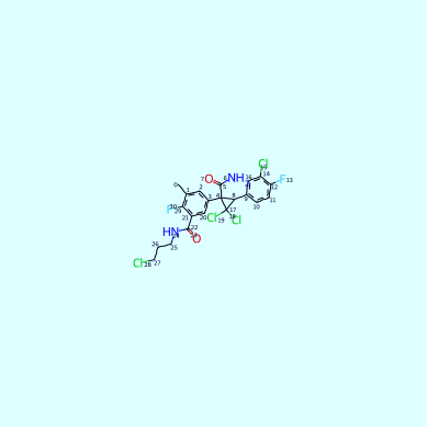 Cc1cc(C2(C(N)=O)C(c3ccc(F)c(Cl)c3)C2(Cl)Cl)cc(C(=O)NCCCCl)c1F